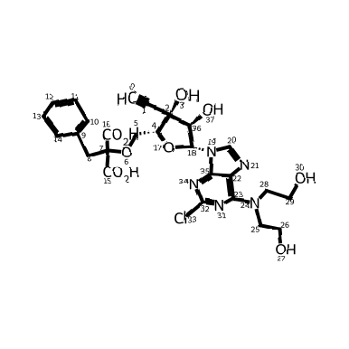 C#C[C@@]1(O)[C@@H](COC(Cc2ccccc2)(C(=O)O)C(=O)O)O[C@@H](n2cnc3c(N(CCO)CCO)nc(Cl)nc32)[C@@H]1O